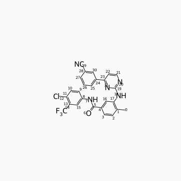 Cc1ccc(C(=O)Nc2ccc(Cl)c(C(F)(F)F)c2)cc1Nc1nccc(-c2cccc(C#N)c2)n1